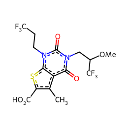 COC(Cn1c(=O)c2c(C)c(C(=O)O)sc2n(CCC(F)(F)F)c1=O)C(F)(F)F